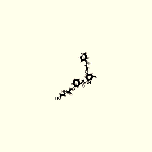 Cc1cc(NS(=O)(=O)c2cccc(OCC(=O)NCCO)c2)cc(OCCNc2ccncc2)c1